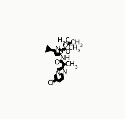 CC(C(=O)Nc1cc(C2CC2)nn1C(=O)OC(C)(C)C)c1cn2cc(Cl)ccc2n1